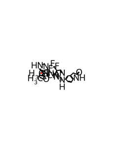 CC1=CNC=NC1(CNc1nc(Nc2ccc3c(c2)CC(=O)N3)ncc1C(F)(F)F)N(C)S(C)(=O)=O